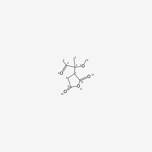 COC(C)(C(C)=O)C1CC(=O)OC1=O